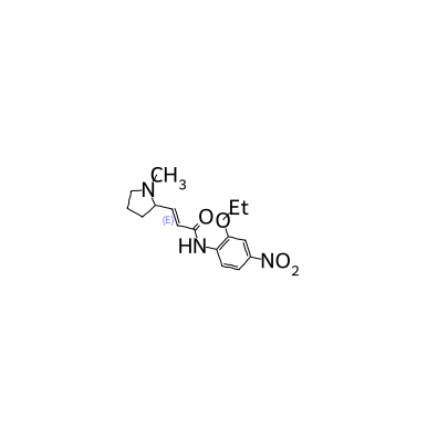 CCOc1cc([N+](=O)[O-])ccc1NC(=O)/C=C/C1CCCN1C